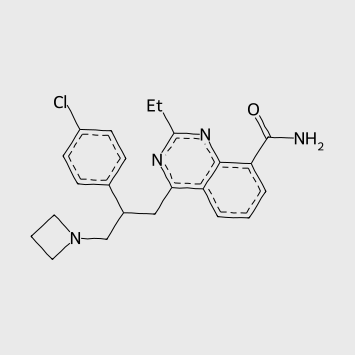 CCc1nc(CC(CN2CCC2)c2ccc(Cl)cc2)c2cccc(C(N)=O)c2n1